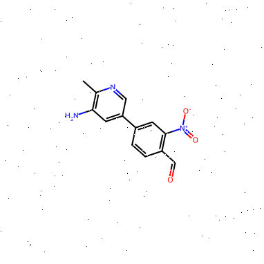 Cc1ncc(-c2ccc(C=O)c([N+](=O)[O-])c2)cc1N